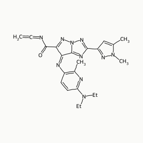 C=C=NC(=O)C1=Nn2nc(-c3cc(C)n(C)n3)nc2/C1=N\c1ccc(N(CC)CC)nc1C